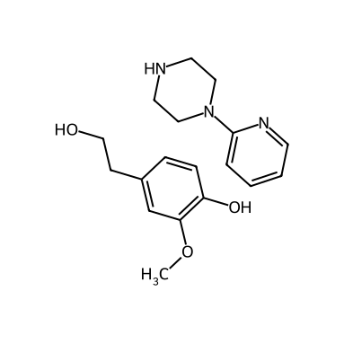 COc1cc(CCO)ccc1O.c1ccc(N2CCNCC2)nc1